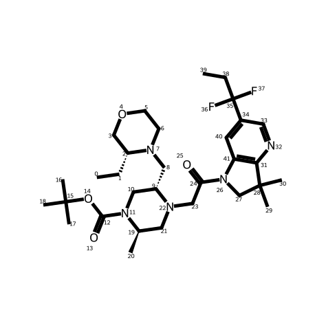 CC[C@@H]1COCCN1C[C@H]1CN(C(=O)OC(C)(C)C)[C@H](C)CN1CC(=O)N1CC(C)(C)c2ncc(C(F)(F)CC)cc21